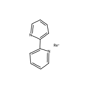 [Re+].c1ccc(-c2ccccn2)nc1